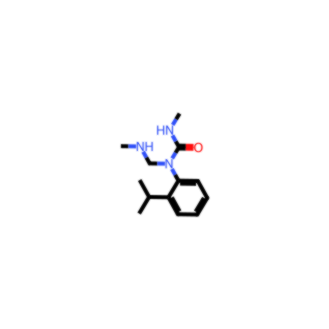 CNCN(C(=O)NC)c1ccccc1C(C)C